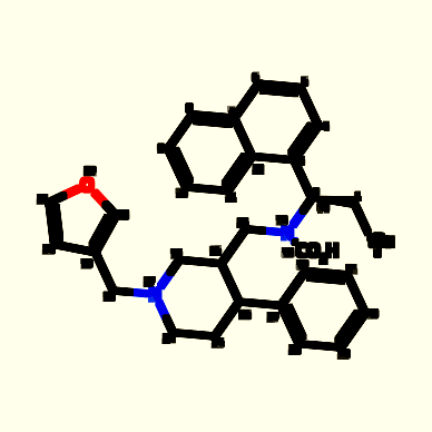 CC(C)(C)C[C@H](c1cccc2ccccc12)N(CC1CN(Cc2ccoc2)CCC1c1ccccc1)C(=O)O